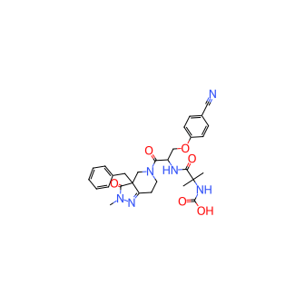 CN1N=C2CCN(C(=O)C(COc3ccc(C#N)cc3)NC(=O)C(C)(C)NC(=O)O)CC2(Cc2ccccc2)C1=O